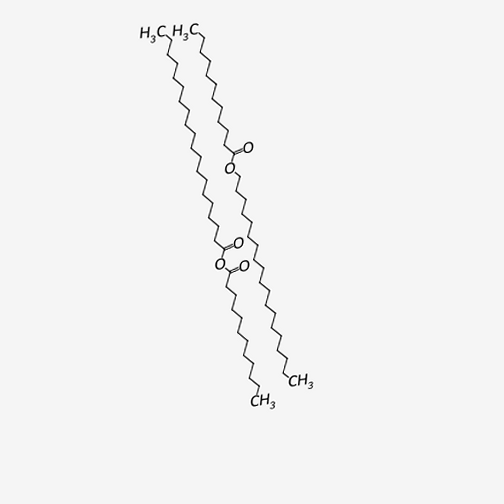 CCCCCCCCCCCCCCCCCCCC(=O)OC(=O)CCCCCCCCCCC.CCCCCCCCCCCCCCCCCCCOC(=O)CCCCCCCCCCC